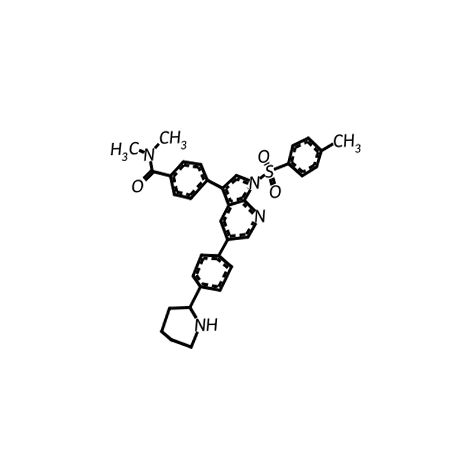 Cc1ccc(S(=O)(=O)n2cc(-c3ccc(C(=O)N(C)C)cc3)c3cc(-c4ccc(C5CCCCN5)cc4)cnc32)cc1